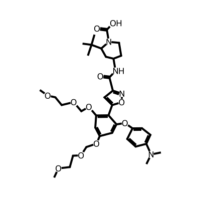 COCCOCOc1cc(OCOCCOC)c(-c2cc(C(=O)NC3CCN(C(=O)O)C(C(C)(C)C)C3)no2)c(Oc2ccc(N(C)C)cc2)c1